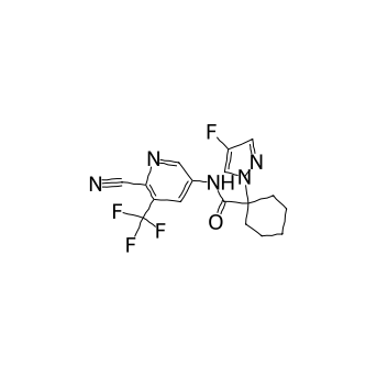 N#Cc1ncc(NC(=O)C2(n3cc(F)cn3)CCCCC2)cc1C(F)(F)F